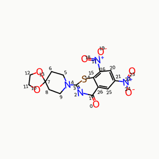 O=c1nc(N2CCC3(CC2)OCCO3)sc2c([N+](=O)[O-])cc([N+](=O)[O-])cc12